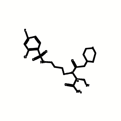 CC(C)C[C@@H](C(N)=O)N(CCCCNS(=O)(=O)c1ccc(F)cc1Cl)C(=O)CC1CCSCC1